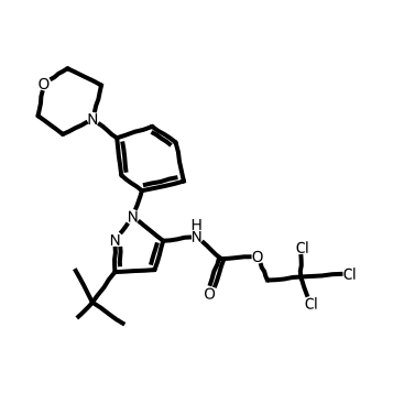 CC(C)(C)c1cc(NC(=O)OCC(Cl)(Cl)Cl)n(-c2cccc(N3CCOCC3)c2)n1